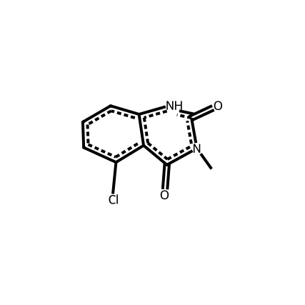 Cn1c(=O)[nH]c2cccc(Cl)c2c1=O